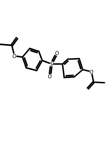 C=C(C)Oc1ccc(S(=O)(=O)c2ccc(OC(=C)C)cc2)cc1